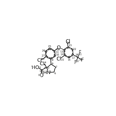 O=C(O)[C@@]1(Cl)NCCC1c1cc(Oc2c(Cl)cc(C(F)(F)F)cc2Cl)ccc1Cl